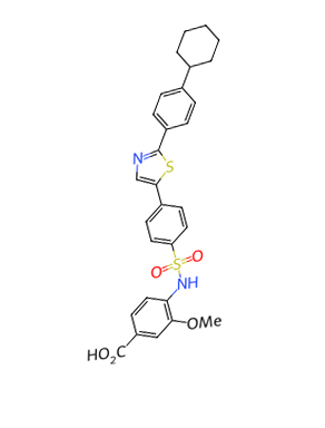 COc1cc(C(=O)O)ccc1NS(=O)(=O)c1ccc(-c2cnc(-c3ccc(C4CCCCC4)cc3)s2)cc1